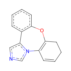 C1=CC2=C(CC1)Oc1ccccc1-c1cncn12